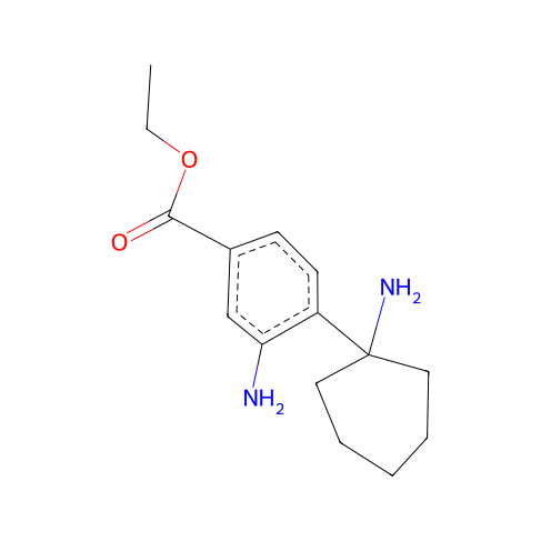 CCOC(=O)c1ccc(C2(N)CCCCC2)c(N)c1